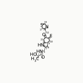 CC(O)C(=O)NCc1cc2cc(F)c(OCc3cscn3)cc2[nH]1